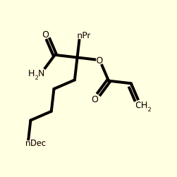 C=CC(=O)OC(CCC)(CCCCCCCCCCCCCC)C(N)=O